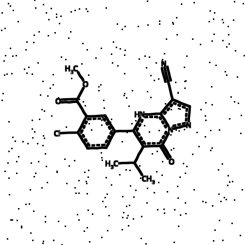 COC(=O)c1cc(-c2[nH]c3c(C#N)cnn3c(=O)c2C(C)C)ccc1Cl